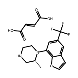 C[C@@H]1CNCCN1c1cc(C(F)(F)F)cc2ccoc12.O=C(O)/C=C/C(=O)O